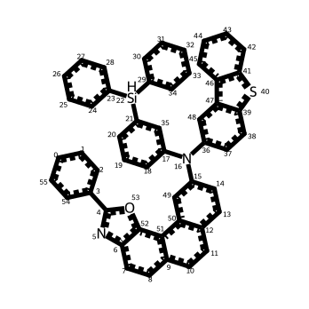 c1ccc(-c2nc3ccc4ccc5ccc(N(c6cccc([SiH](c7ccccc7)c7ccccc7)c6)c6ccc7sc8ccccc8c7c6)cc5c4c3o2)cc1